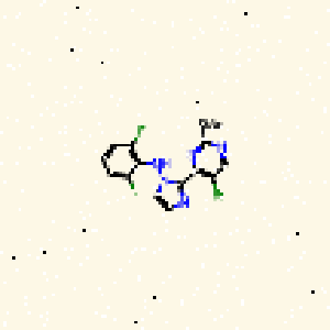 CSc1ncc(Br)c(-c2nccn2Nc2c(F)cccc2F)n1